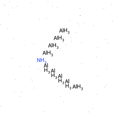 N.[AlH3].[AlH3].[AlH3].[AlH3].[AlH3].[AlH3].[AlH3].[AlH3].[AlH3]